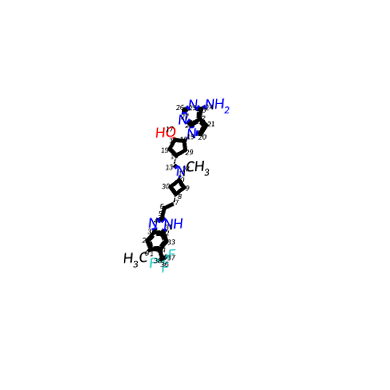 Cc1cc2nc(CC[C@H]3C[C@H](N(C)C[C@@H]4C[C@@H](O)[C@H](n5ccc6c(N)ncnc65)C4)C3)[nH]c2cc1C(F)(F)F